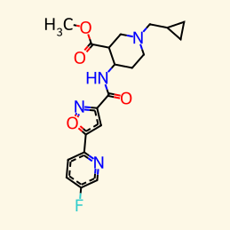 COC(=O)C1CN(CC2CC2)CCC1NC(=O)c1cc(-c2ccc(F)cn2)on1